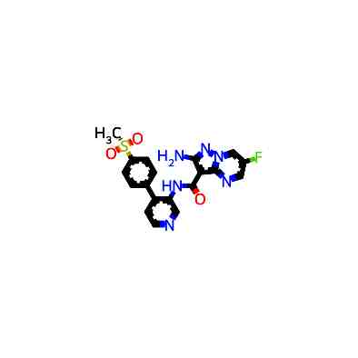 CS(=O)(=O)c1ccc(-c2ccncc2NC(=O)c2c(N)nn3cc(F)cnc23)cc1